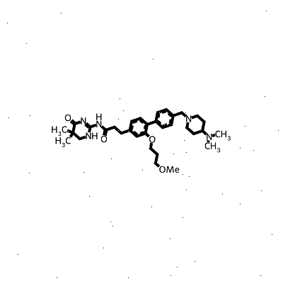 COCCCOc1cc(CCC(=O)NC2=NC(=O)C(C)(C)CN2)ccc1-c1ccc(CN2CCC(N(C)C)CC2)cc1